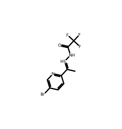 CC(=[SH]NC(=O)C(F)(F)F)c1ccc(Br)cn1